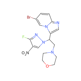 O=[N+]([O-])c1cn(C(CN2CCOCC2)c2cnc3ccc(Br)cn23)nc1F